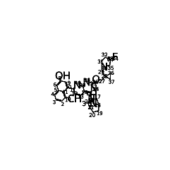 Cc1cccc2cc(O)cc(-c3ccc4c(N5CC6CCC(C5)N6)nc(OCC5(CN6CC[C@@H](F)C6)CC5)nc4n3)c12